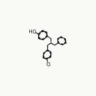 Oc1ccc(CC(Cc2ccccc2)Cc2ccc(Cl)cc2)cc1